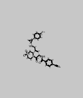 N#Cc1ccc(C(=O)N[C@@H](CCCN[C@@H]2C[C@H]2c2ccc(F)cc2)C(=O)N2CCS(=O)(=O)CC2)cc1